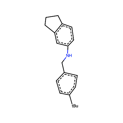 CC(C)(C)c1ccc(CNc2ccc3c(c2)CCC3)cc1